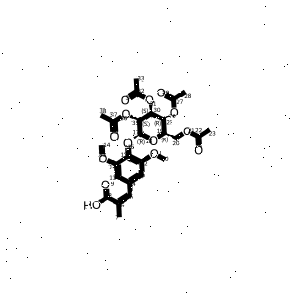 COc1cc(C=C(C)C(=O)O)cc(OC)c1O[C@H]1O[C@H](COC(C)=O)[C@@H](OC(C)=O)[C@H](OC(C)=O)[C@@H]1OC(C)=O